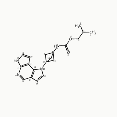 CC(C)COC(=O)NC12CC(n3cnc4cnc5[nH]ccc5c43)(C1)C2